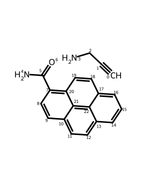 C#CCN.NC(=O)c1ccc2ccc3cccc4ccc1c2c34